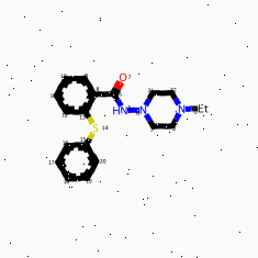 CCN1CCN(NC(=O)c2ccccc2Sc2ccccc2)CC1